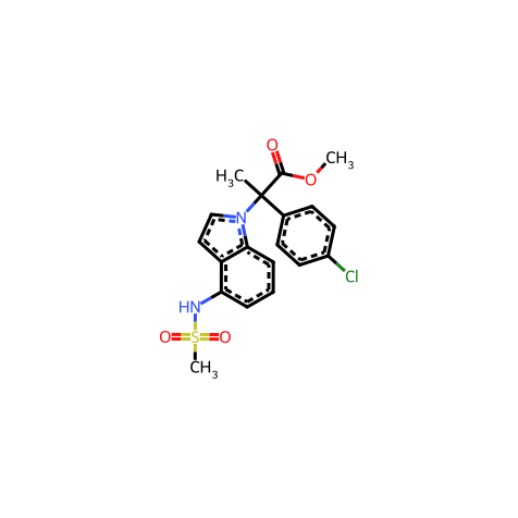 COC(=O)C(C)(c1ccc(Cl)cc1)n1ccc2c(NS(C)(=O)=O)cccc21